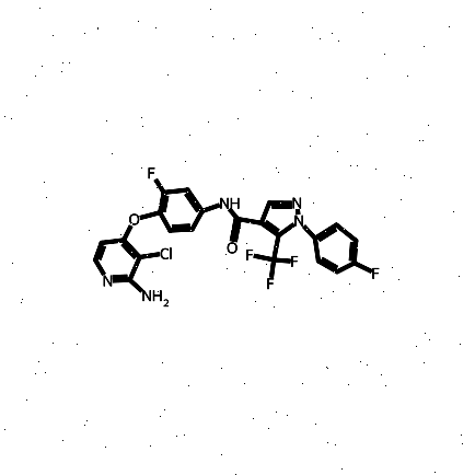 Nc1nccc(Oc2ccc(NC(=O)c3cnn(-c4ccc(F)cc4)c3C(F)(F)F)cc2F)c1Cl